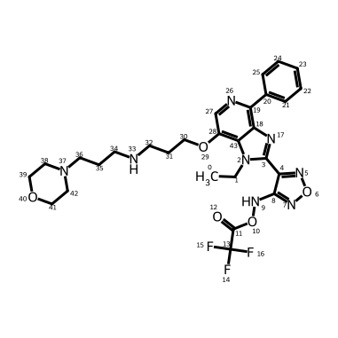 CCn1c(-c2nonc2NOC(=O)C(F)(F)F)nc2c(-c3ccccc3)ncc(OCCCNCCCN3CCOCC3)c21